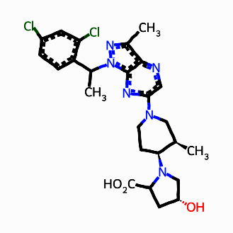 Cc1nn(C(C)c2ccc(Cl)cc2Cl)c2nc(N3CC[C@H](N4C[C@H](O)CC4C(=O)O)[C@H](C)C3)cnc12